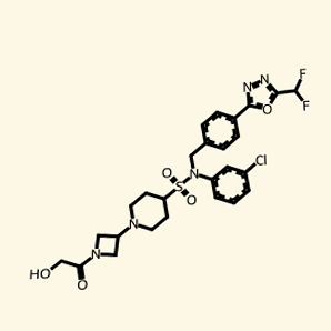 O=C(CO)N1CC(N2CCC(S(=O)(=O)N(Cc3ccc(-c4nnc(C(F)F)o4)cc3)c3cccc(Cl)c3)CC2)C1